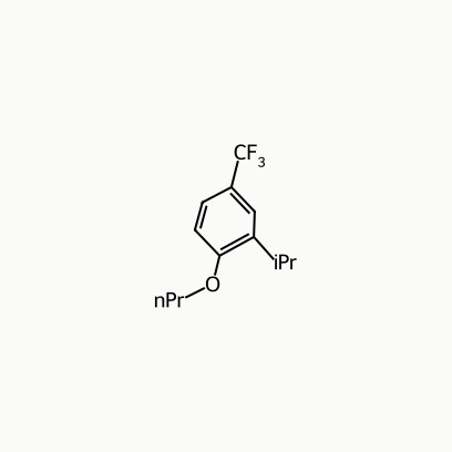 CCCOc1ccc(C(F)(F)F)cc1C(C)C